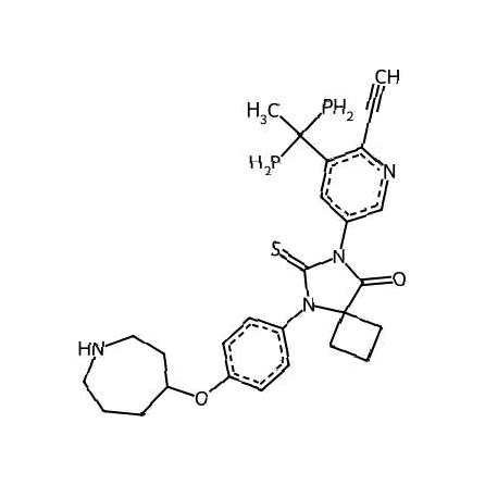 C#Cc1ncc(N2C(=O)C3(CCC3)N(c3ccc(OC4CCCNCC4)cc3)C2=S)cc1C(C)(P)P